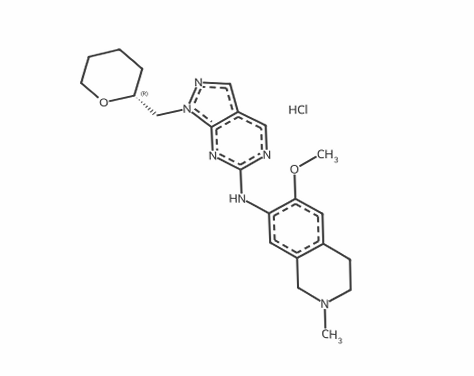 COc1cc2c(cc1Nc1ncc3cnn(C[C@H]4CCCCO4)c3n1)CN(C)CC2.Cl